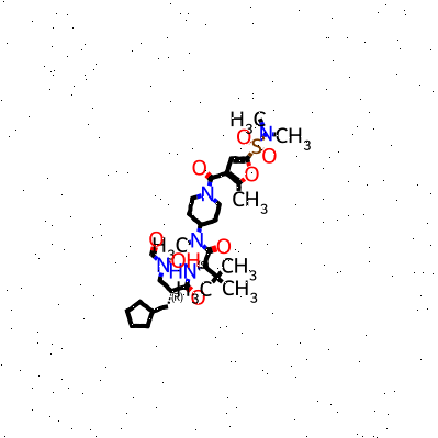 Cc1oc(S(=O)(=O)N(C)C)cc1C(=O)N1CCC(N(C)C(=O)[C@@H](NC(=O)[C@H](CC2CCCC2)CN(O)C=O)C(C)(C)C)CC1